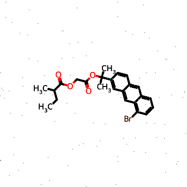 CCC(C)C(=O)OCC(=O)OC(C)(C)c1ccc2cc3cccc(Br)c3cc2c1